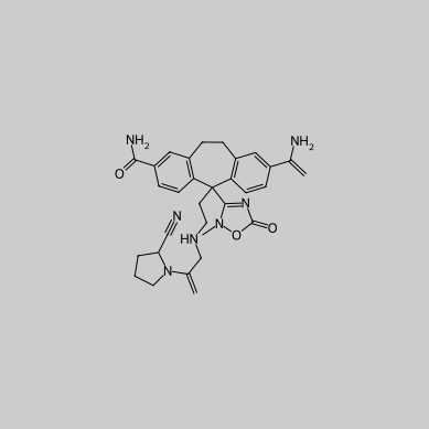 C=C(N)c1ccc2c(c1)CCc1cc(C(N)=O)ccc1C2(CCNCC(=C)N1CCCC1C#N)c1nc(=O)on1C